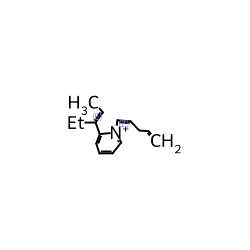 C=CC/C=C\[n+]1ccccc1/C(=C/C)CC